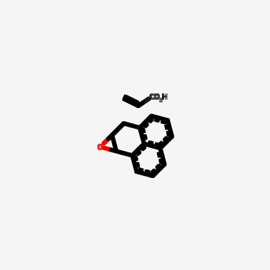 C=CC(=O)O.c1cc2c3c(cccc3c1)C1OC1C2